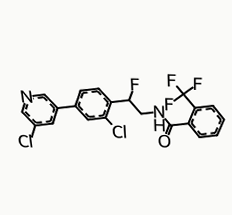 O=C(NCC(F)c1ccc(-c2cncc(Cl)c2)cc1Cl)c1ccccc1C(F)(F)F